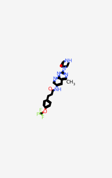 Cc1nc(N2CC3CC2CN3)nc2ncc(NC(=O)CCc3ccc(OC(F)(F)F)cc3)cc12